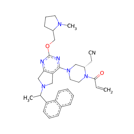 C=CC(=O)N1CCN(c2nc(OCC3CCCN3C)nc3c2CN(C(C)c2cccc4ccccc24)C3)C[C@@H]1CC#N